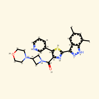 Cc1cc(C)c2[nH]nc(-c3nc(C(=O)N4CC(N5CCOCC5)C4)c(-c4cccnc4)s3)c2c1